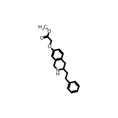 COC(=O)COc1ccc2c(c1)CNC(CCc1ccccc1)C2